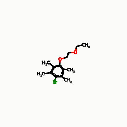 CCOCCOc1c(C)c(C)c(Br)c(C)c1C